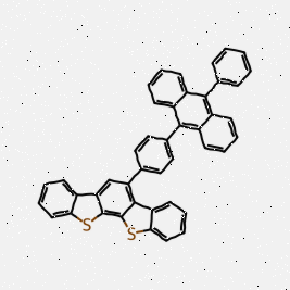 c1ccc(-c2c3ccccc3c(-c3ccc(-c4cc5c6ccccc6sc5c5sc6ccccc6c45)cc3)c3ccccc23)cc1